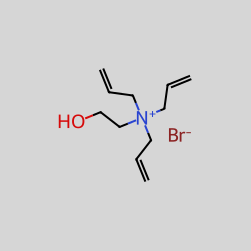 C=CC[N+](CC=C)(CC=C)CCO.[Br-]